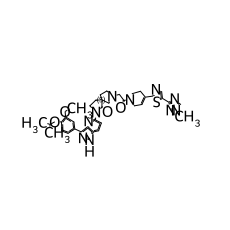 COc1cc(-c2n[nH]c3ccc(N4CC[C@]5(CCN(CC(=O)N6CC=C(c7ncc(-c8ncn(C)n8)s7)CC6)C5)C4=O)nc23)ccc1OC(C)C